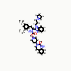 O=C(NC(Cc1cc(C(F)(F)F)cc(C(F)(F)F)c1)c1nc2ccccc2n1CCCN1CCCC1)ON1CCC(N2CCc3ccccc3NC2=O)CC1